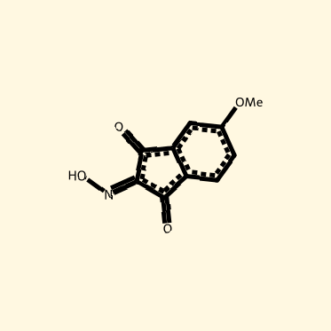 COc1ccc2c(=O)c(=NO)c(=O)c2c1